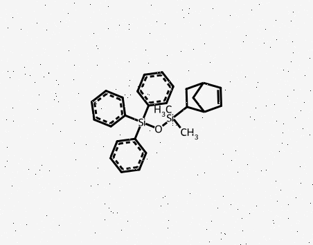 C[Si](C)(O[Si](c1ccccc1)(c1ccccc1)c1ccccc1)C1CC2C=CC1C2